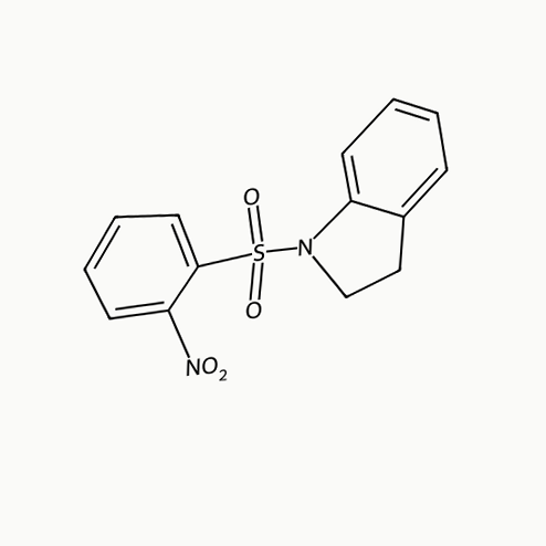 O=[N+]([O-])c1ccccc1S(=O)(=O)N1CCc2ccccc21